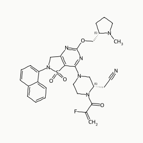 C=C(F)C(=O)N1CCN(c2nc(OC[C@@H]3CCCN3C)nc3c2S(=O)(=O)N(c2cccc4ccccc24)C3)C[C@@H]1CC#N